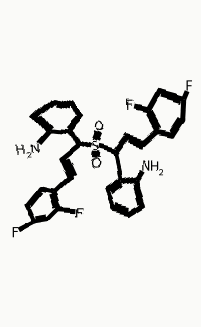 Nc1ccccc1C(C=Cc1ccc(F)cc1F)S(=O)(=O)C(C=Cc1ccc(F)cc1F)c1ccccc1N